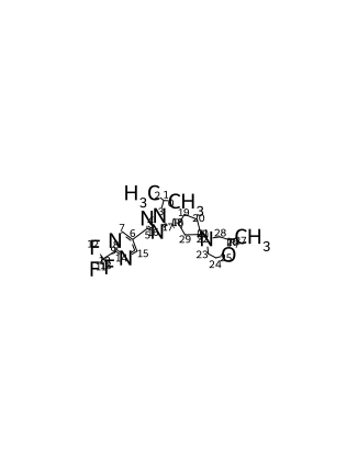 CC(C)n1nc(-c2cnc(C(F)(F)F)nc2)nc1[C@@H]1CC[C@H](N2CCO[C@H](C)C2)C1